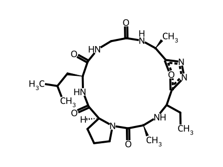 CCC1N[C@@H](C)C(=O)N2CCC[C@H]2C(=O)N[C@@H](CC(C)C)C(=O)NCC(=O)N[C@@H](C)c2nnc1o2